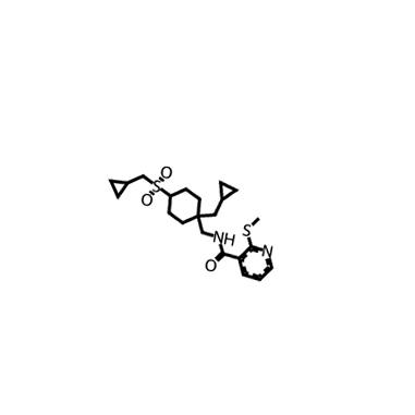 CSc1ncccc1C(=O)NCC1(CC2CC2)CCC(S(=O)(=O)CC2CC2)CC1